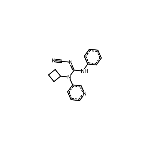 N#CN=C(Nc1ccccc1)N(c1cccnc1)C1CCC1